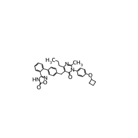 CCCc1nc(C)n(-c2ccc(OC3CCC3)cc2)c(=O)c1Cc1ccc(-c2ccccc2-c2noc(=O)[nH]2)cc1